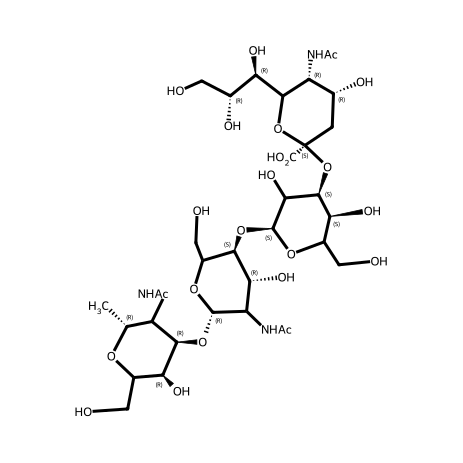 CC(=O)NC1[C@H](O[C@@H]2C(NC(C)=O)[C@@H](C)OC(CO)[C@@H]2O)OC(CO)[C@@H](O[C@@H]2OC(CO)[C@H](O)[C@H](O[C@]3(C(=O)O)C[C@@H](O)[C@@H](NC(C)=O)C([C@H](O)[C@H](O)CO)O3)C2O)[C@@H]1O